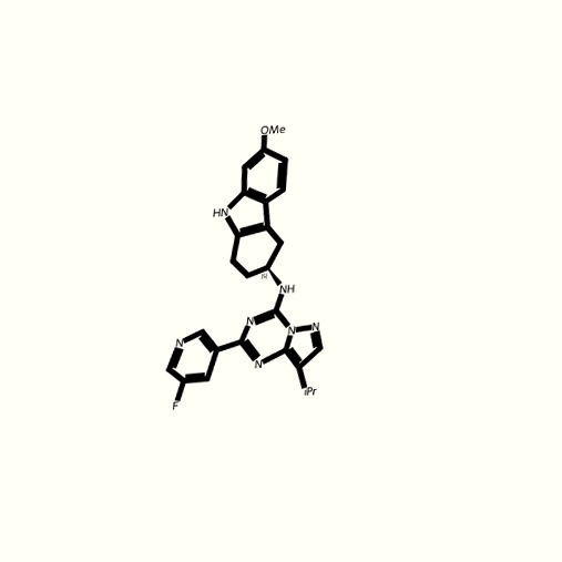 COc1ccc2c3c([nH]c2c1)CC[C@H](Nc1nc(-c2cncc(F)c2)nc2c(C(C)C)cnn12)C3